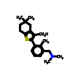 Cc1c(CN(C)C)cccc1-c1sc2c(c1C(=O)O)CC(C)(C)CC2